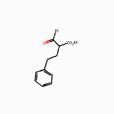 CCOC(=O)C(CCc1ccccc1)C(=O)CC